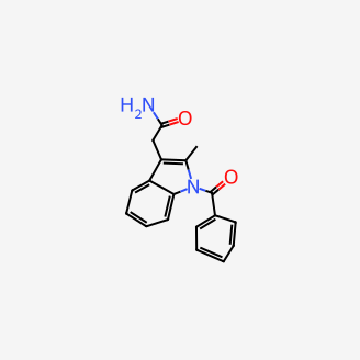 Cc1c(CC(N)=O)c2ccccc2n1C(=O)c1ccccc1